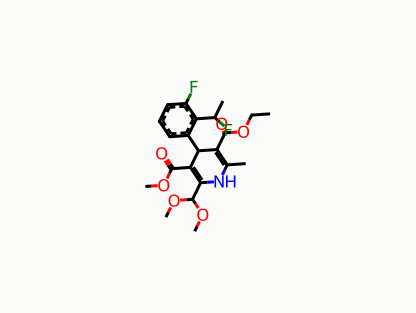 CCOC(=O)C1=C(C)NC(C(OC)OC)=C(C(=O)OC)C1c1cccc(F)c1C(C)F